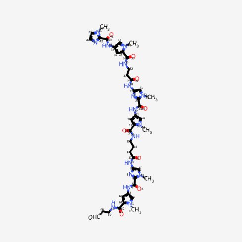 Cn1cc(NC(=O)c2nc(NC(=O)CCCNC(=O)c3cc(NC(=O)c4nc(NC(=O)CCNC(=O)c5cc(NC(=O)c6nccn6C)cn5C)cn4C)cn3C)cn2C)cc1C(=O)NCCC=O